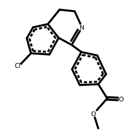 COC(=O)c1ccc(C2=NCCc3ccc(Cl)cc32)cc1